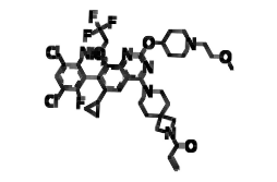 C=CC(=O)N1CC2(CCN(c3nc(OC4CCN(CCOC)CC4)nc4c(OCC(F)(F)F)c(-c5c(N)c(Cl)cc(Cl)c5F)c(C5CC5)cc34)CC2)C1